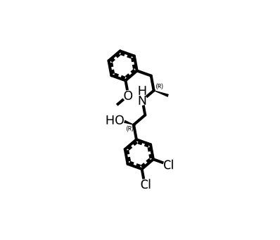 COc1ccccc1C[C@@H](C)NC[C@H](O)c1ccc(Cl)c(Cl)c1